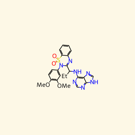 CCC(Nc1ncnc2[nH]cnc12)C1=Nc2ccccc2S(=O)(=O)N1c1ccc(OC)c(OC)c1